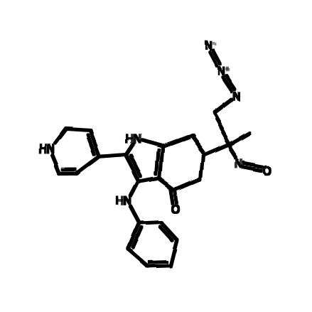 CC(CN=[N+]=[N-])(N=O)C1CC(=O)c2c([nH]c(C3=CCNC=C3)c2Nc2ccccc2)C1